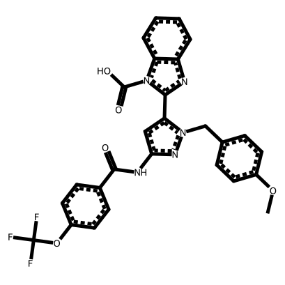 COc1ccc(Cn2nc(NC(=O)c3ccc(OC(F)(F)F)cc3)cc2-c2nc3ccccc3n2C(=O)O)cc1